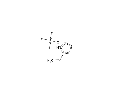 C=Cc1ccc[nH]1.O=S(=O)(Cl)Cl